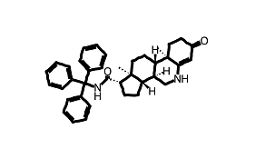 C[C@]12CC[C@H]3[C@@H](CNC4=CC(=O)CC[C@@]43C)[C@@H]1CC[C@@H]2C(=O)NC(c1ccccc1)(c1ccccc1)c1ccccc1